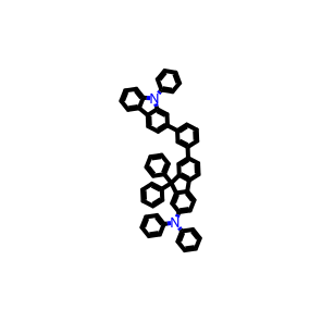 c1ccc(N(c2ccccc2)c2ccc3c(c2)C(c2ccccc2)(c2ccccc2)c2cc(-c4cccc(-c5ccc6c7ccccc7n(-c7ccccc7)c6c5)c4)ccc2-3)cc1